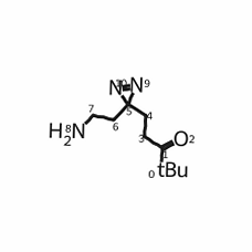 CC(C)(C)C(=O)CCC1(CCN)N=N1